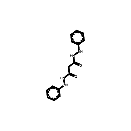 O=C(CC(=O)NNc1ccccc1)NNc1ccccc1